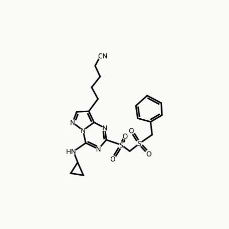 N#CCCCCc1cnn2c(NC3CC3)nc(S(=O)(=O)CS(=O)(=O)Cc3ccccc3)nc12